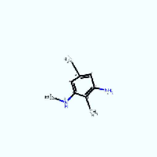 CSNc1cc(C)cc(N)c1C